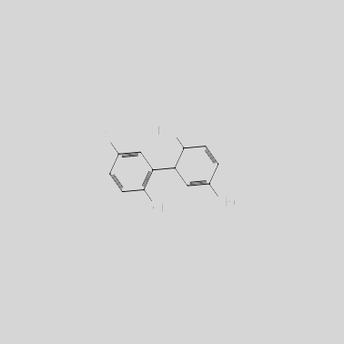 Cc1ccc(F)cc1C1C=C(C(C)(C)C)C=CC1C